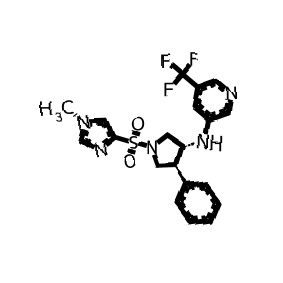 Cn1cnc(S(=O)(=O)N2C[C@H](Nc3cncc(C(F)(F)F)c3)[C@@H](c3ccccc3)C2)c1